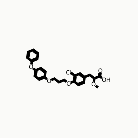 COC(Cc1ccc(OCCCOc2ccc(Oc3ccccc3)cc2)c(Cl)c1)C(=O)O